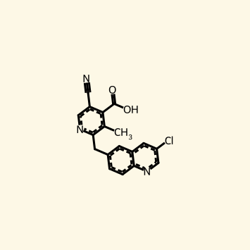 Cc1c(Cc2ccc3ncc(Cl)cc3c2)ncc(C#N)c1C(=O)O